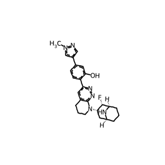 Cn1cc(-c2ccc(-c3cc4c(nn3)N([C@H]3C[C@@H]5CCC[C@@H](N5)[C@H]3F)CCC4)c(O)c2)cn1